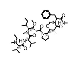 CCC(C)[C@@H]([C@@H](CC(=O)N1CCC[C@H]1[C@H](OC)[C@@H](C)C(=O)NC(Cc1ccccc1)C(=O)NC)OC)N(C)C(=O)[C@@H](NC(=O)[C@H](C(C)C)N(C)CC)C(C)C